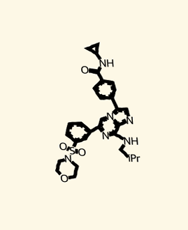 CC(C)CNc1nc(-c2cccc(S(=O)(=O)N3CCOCC3)c2)cn2c(-c3ccc(C(=O)NC4CC4)cc3)cnc12